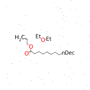 C=CCOC(=O)CCCCCCCCCCCCCCCCC.CCOCC